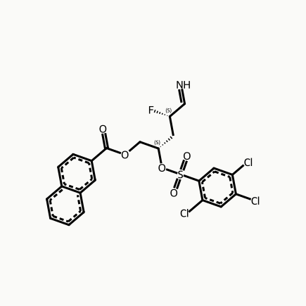 N=C[C@@H](F)C[C@@H](COC(=O)c1ccc2ccccc2c1)OS(=O)(=O)c1cc(Cl)c(Cl)cc1Cl